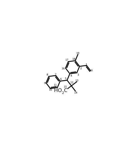 C=Cc1cc(C(c2ccccc2)C(C)(C)C(=O)O)ccc1C